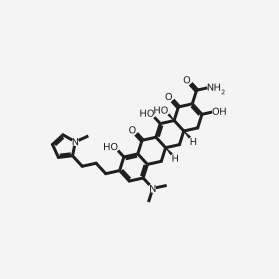 CN(C)c1cc(CCCc2cccn2C)c(O)c2c1C[C@H]1C[C@H]3CC(O)=C(C(N)=O)C(=O)[C@@]3(O)C(O)=C1C2=O